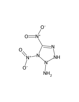 NN1NN=C([N+](=O)[O-])N1[N+](=O)[O-]